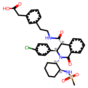 CS(=O)(=O)N[C@H]1CCCC[C@@H]1N1C(=O)c2ccccc2[C@@H](C(=O)NCCc2cccc(CC(=O)O)c2)[C@@H]1c1ccc(Cl)cc1